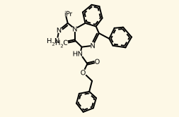 C=C1C(NC(=O)OCc2ccccc2)N=C(c2ccccc2)c2ccccc2N1/C(=N\N)C(C)C